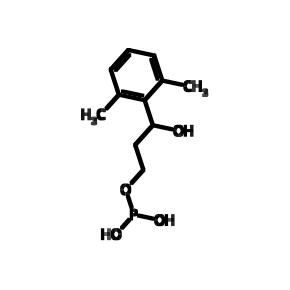 Cc1cccc(C)c1C(O)CCOP(O)O